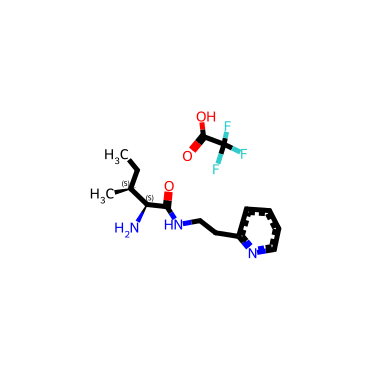 CC[C@H](C)[C@H](N)C(=O)NCCc1ccccn1.O=C(O)C(F)(F)F